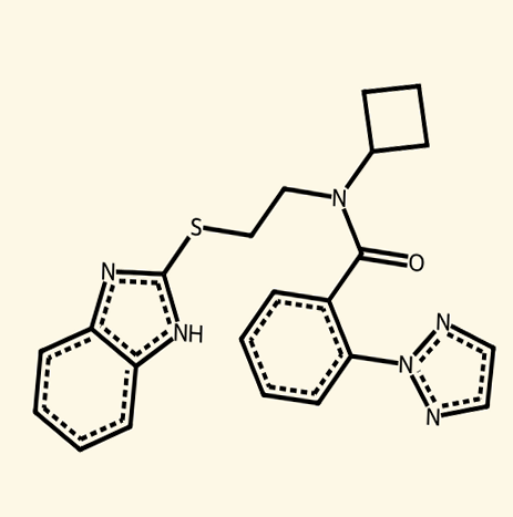 O=C(c1ccccc1-n1nccn1)N(CCSc1nc2ccccc2[nH]1)C1CCC1